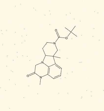 CN1C(=O)CN2c3c1cccc3C1(C)CN(C(=O)OC(C)(C)C)CCC21